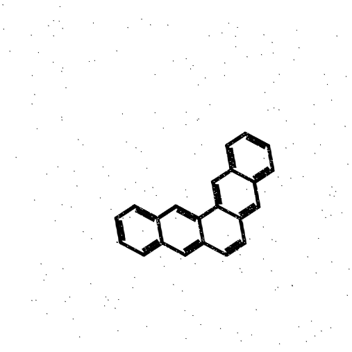 [c]1ccc2cc3c(ccc4cc5ccccc5cc43)cc2c1